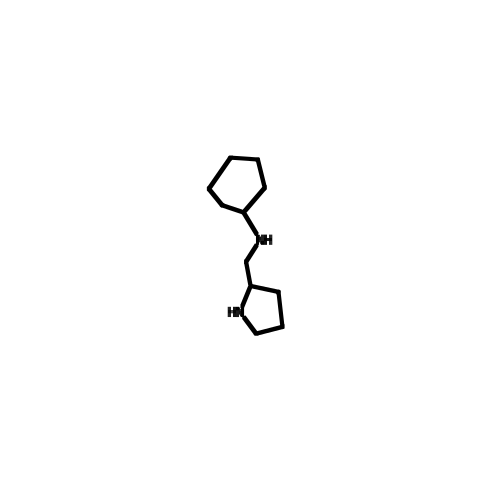 C1CCC(NCC2CCCN2)CC1